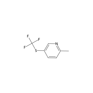 Cc1ccc(SC(F)(F)F)cn1